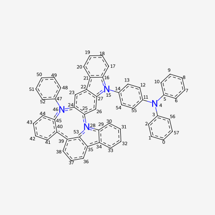 c1ccc(N(c2ccccc2)c2ccc(-n3c4ccccc4c4cc5c(cc43)n3c4ccccc4c4cccc(c6ccccc6n5-c5ccccc5)c43)cc2)cc1